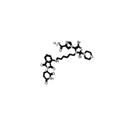 NC(=O)c1cn(C2=C(Br)SC(Br)(N3CCOCC3)N2CCCCCCNc2cccc3c2C(=O)N([C@H]2CCC(=O)NC2=O)C3=O)cn1